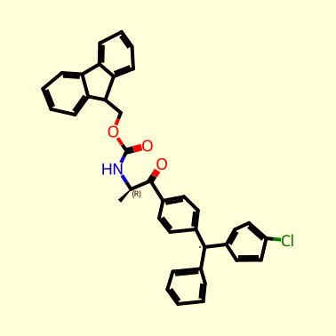 C[C@@H](NC(=O)OCC1c2ccccc2-c2ccccc21)C(=O)c1ccc([C](c2ccccc2)c2ccc(Cl)cc2)cc1